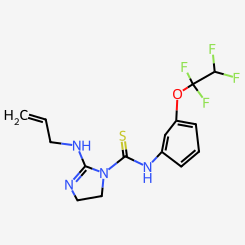 C=CCNC1=NCCN1C(=S)Nc1cccc(OC(F)(F)C(F)F)c1